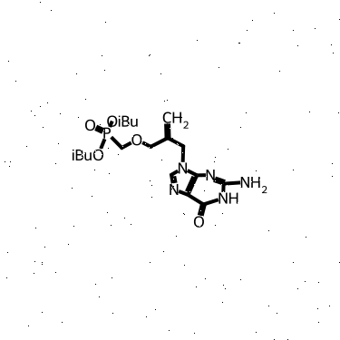 C=C(COCP(=O)(OCC(C)C)OCC(C)C)Cn1cnc2c(=O)[nH]c(N)nc21